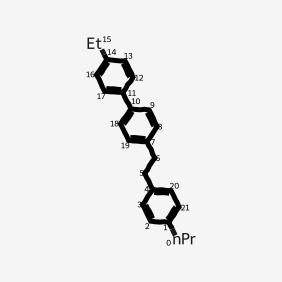 CCCc1ccc(CCc2ccc(-c3ccc(CC)cc3)cc2)cc1